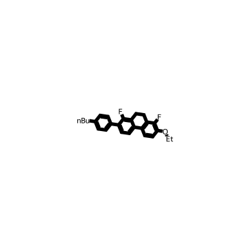 CCCCc1ccc(-c2ccc3c(c2F)CCc2c-3ccc(OCC)c2F)cc1